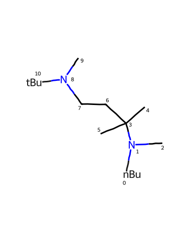 CCCCN(C)C(C)(C)CCN(C)C(C)(C)C